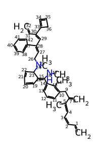 C=C/C=C\C=C(/C)C(=C)Cc1cccc(/C(NC)=C2\C=CC=CC2N(C)CC=C(/C=C(\C=C)C2=C=CC2)c2ccccc2)c1C